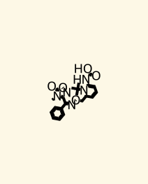 Cn1c(/C(=N\OCC2C=CC=C(NC(=O)O)N2C(C)(C)C)c2ccccc2)noc1=O